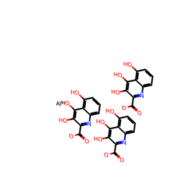 O=C([O-])c1nc2cccc(O)c2c(O)c1O.O=C([O-])c1nc2cccc(O)c2c(O)c1O.O=C([O-])c1nc2cccc(O)c2c(O)c1O.[Al+3]